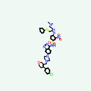 CN(C)CC[C@H](CSc1ccccc1)Nc1ccc(S(=O)(=O)Nc2ncnc3cc(N4CCN(CC5=C(c6ccc(Cl)cc6)CCOC5)CC4)ccc23)cc1[N+](=O)[O-]